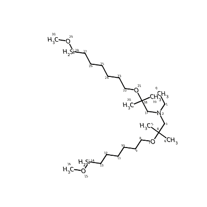 CCN(CC(C)(C)OCCCCCC[SiH2]OC)CC(C)(C)OCCCCCC[SiH2]OC